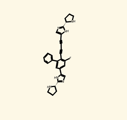 Fc1cc(-c2cnc([C@@H]3CCCN3)[nH]2)cc(-c2ccccc2)c1C#CC#Cc1cnc([C@@H]2CCCN2)[nH]1